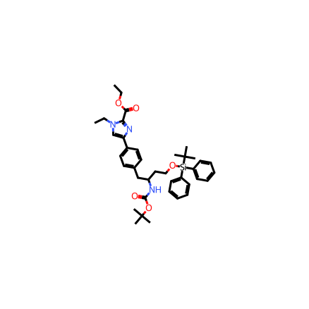 CCOC(=O)c1nc(-c2ccc(CC(CCO[Si](c3ccccc3)(c3ccccc3)C(C)(C)C)NC(=O)OC(C)(C)C)cc2)cn1CC